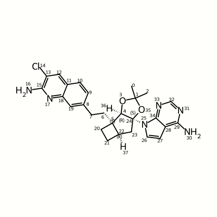 CC1(C)O[C@@H]2[C@]3(CCc4ccc5cc(Cl)c(N)nc5c4)CC[C@@H]3C[C@]2(n2ccc3c(N)ncnc32)O1